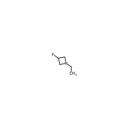 CCN1C[C](F)C1